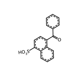 O=C(c1ccccc1)c1ccc(S(=O)(=O)O)c2ccccc12